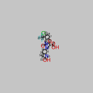 CN1c2cc(-n3cc(C(=O)O)c(=O)n(Cc4cccc(Cl)c4C(F)(F)F)c3=O)ccc2C(C)(C)C1O